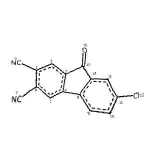 N#Cc1cc2c(cc1C#N)-c1ccc(Cl)cc1C2=O